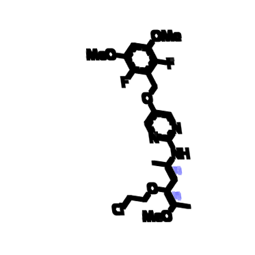 CO/C(C)=C(/C=C(\C)Nc1ncc(OCc2c(F)c(OC)cc(OC)c2F)cn1)OCCCl